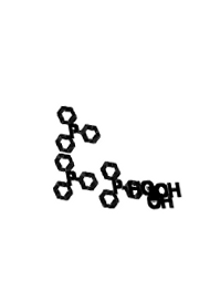 OB(O)O.c1ccc(P(c2ccccc2)c2ccccc2)cc1.c1ccc(P(c2ccccc2)c2ccccc2)cc1.c1ccc(P(c2ccccc2)c2ccccc2)cc1